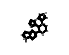 c1csc(C2C(c3ccc4[nH]ccc4c3)[N]CCN2c2ccsc2)c1